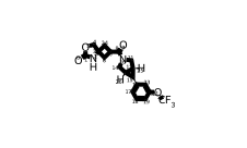 O=C1NC2(CO1)CC(C(=O)N1C[C@@H]3[C@H](C1)[C@H]3c1cccc(OC(F)(F)F)c1)C2